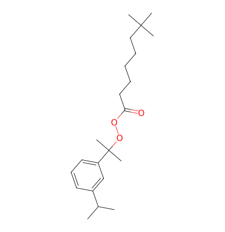 CC(C)c1cccc(C(C)(C)OOC(=O)CCCCCC(C)(C)C)c1